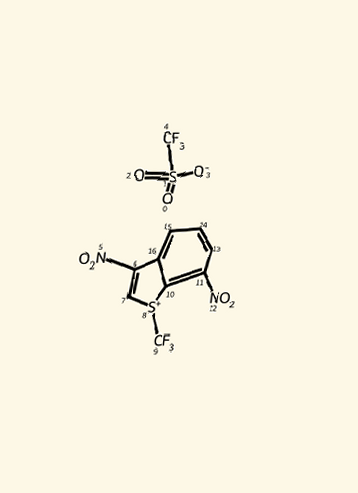 O=S(=O)([O-])C(F)(F)F.O=[N+]([O-])c1c[s+](C(F)(F)F)c2c([N+](=O)[O-])cccc12